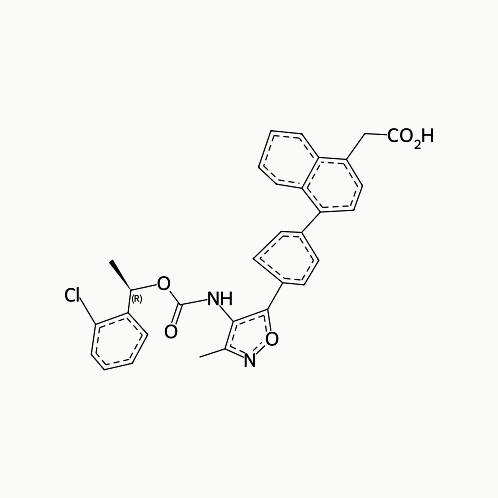 Cc1noc(-c2ccc(-c3ccc(CC(=O)O)c4ccccc34)cc2)c1NC(=O)O[C@H](C)c1ccccc1Cl